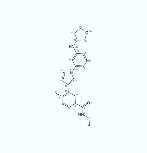 CCNC(=O)c1ccc(C)c(-c2cnn(-c3cncc(NC4CCOC4)c3)c2)c1